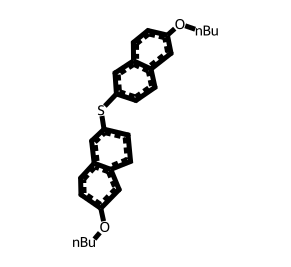 CCCCOc1ccc2cc(Sc3ccc4cc(OCCCC)ccc4c3)ccc2c1